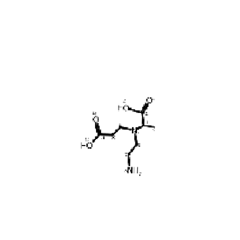 CC(C(=O)O)N(CCN)CCC(=O)O